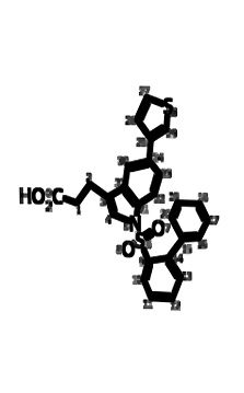 O=C(O)CCc1cn(S(=O)(=O)c2ccccc2-c2ccccc2)c2ccc(-c3ccsc3)cc12